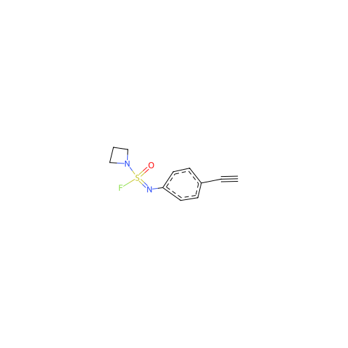 C#Cc1ccc(N=S(=O)(F)N2CCC2)cc1